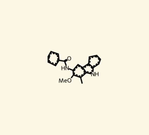 COc1c(NC(=O)c2ccccc2)cc2c([nH]c3ccccc32)c1C